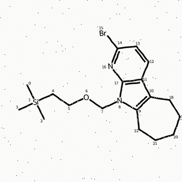 C[Si](C)(C)CCOCn1c2c(c3ccc(Br)nc31)CCCCC2